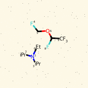 CCN(C(C)C)C(C)C.FCOC(F)C(F)(F)F